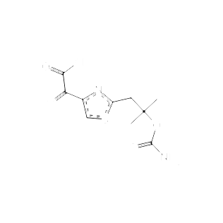 CC(C)(Cc1nc(C(=O)C(=O)Cl)cs1)OC(N)=O